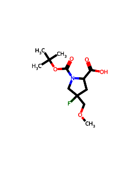 COCC1(F)CC(C(=O)O)N(C(=O)OC(C)(C)C)C1